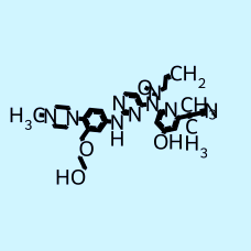 C=CCN1Oc2cnc(Nc3ccc(N4CCN(C)CC4)c(COCCO)c3)nc2N1c1cc(O)cc(C(C)(C)C#N)n1